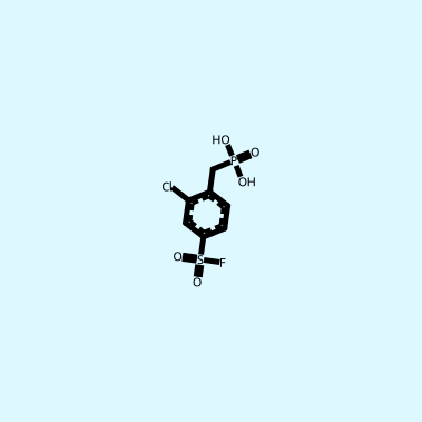 O=P(O)(O)Cc1ccc(S(=O)(=O)F)cc1Cl